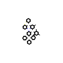 Cc1cc(C)c(B2c3cc([Si](c4ccccc4)(c4ccccc4)c4ccccc4)ccc3N3c4cccc5c4B(c4ccccc4S5)c4cc(C)cc2c43)c(C)c1